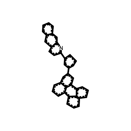 c1cc(-c2cc3cccc4c5cccc6cccc(c(c2)c34)c65)cc(-c2ccc3cc4ccccc4cc3n2)c1